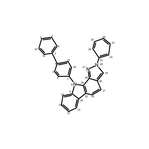 c1ccc(-c2ccc(-n3c4ccccc4c4ccc5cn(-c6ccccc6)nc5c43)cc2)cc1